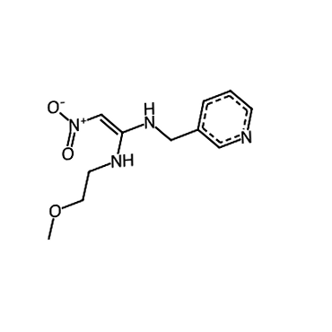 COCCN/C(=C\[N+](=O)[O-])NCc1cccnc1